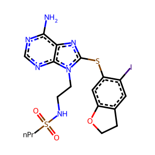 CCCS(=O)(=O)NCCn1c(Sc2cc3c(cc2I)CCO3)nc2c(N)ncnc21